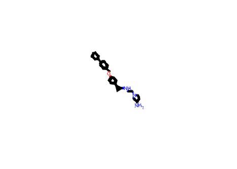 N[C@@H]1CCN(CCNC2CC2c2ccc(OCc3ccc(-c4ccccc4)cc3)cc2)C1